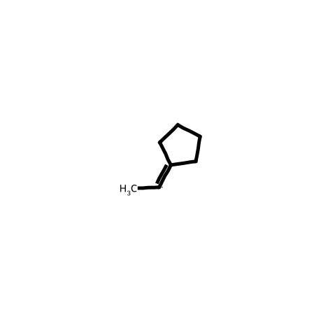 C[C]=C1CCCC1